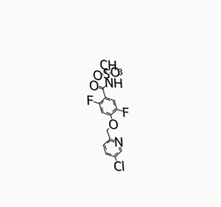 CS(=O)(=O)NC(=O)c1cc(F)c(OCc2ccc(Cl)cn2)cc1F